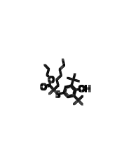 CCCCCCC(C)(Sc1cc(C(C)(C)C)c(O)c(C(C)(C)C)c1)C(=O)OCCC